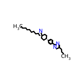 CCCCCCCCCC[C@]1(C#N)CC[C@H](c2ccc(-c3ncc(CCCC)cn3)cc2)CC1